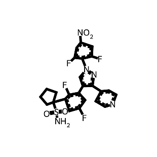 NS(=O)(=O)C1(c2cc(F)cc(-c3cn(-c4c(F)cc([N+](=O)[O-])cc4F)nc3-c3ccncc3)c2F)CCCC1